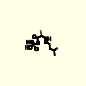 CC(C)CCON[C@@H](C)C(=O)OP(=O)(O)O